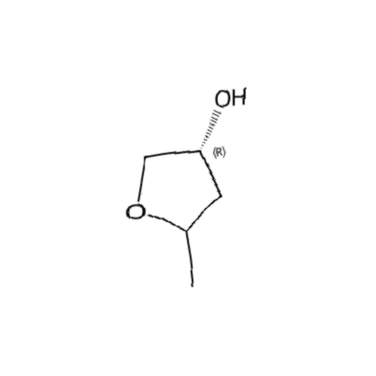 CC1C[C@@H](O)CO1